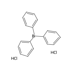 Cl.Cl.c1cc[c]([Bi]([c]2ccccc2)[c]2ccccc2)cc1